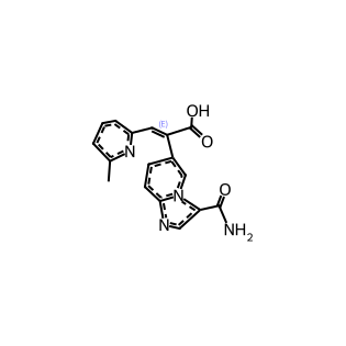 Cc1cccc(/C=C(/C(=O)O)c2ccc3ncc(C(N)=O)n3c2)n1